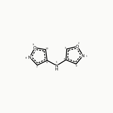 c1nocc1Nc1cnoc1